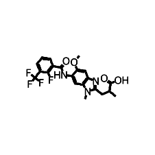 COc1cc2nc(CC(C)C(=O)O)n(C)c2cc1NC(=O)c1cccc(C(F)(F)F)c1F